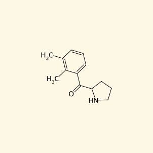 Cc1cccc(C(=O)C2CCCN2)c1C